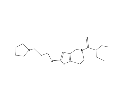 CCC(CC)C(=O)N1CCc2sc(OCCCN3CCCC3)cc2C1